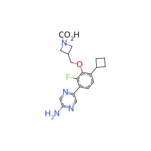 Nc1cnc(-c2ccc(C3CCC3)c(OCC3CN(C(=O)O)C3)c2F)cn1